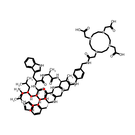 CC(C)CC(CC(C)C)NC(=O)[C@H](Cc1cnc[nH]1)NC(=O)CNC(=O)[C@@H](NC(=O)[C@H](C)NC(=O)C(Cc1c[nH]c2ccccc12)NC(=O)[C@H](CCC(N)=O)NC(=O)[C@@H](Cc1ccccc1)NC(=O)COCC(=O)Nc1ccc(CNC(=O)CN2CCN(CC(=O)O)CCN(CC(=O)O)CCN(CC(=O)O)CC2)cc1)C(C)C